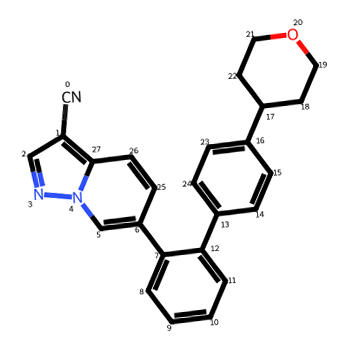 N#Cc1cnn2cc(-c3ccccc3-c3ccc(C4CCOCC4)cc3)ccc12